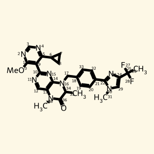 COc1ncnc(C2CC2)c1-c1ncc2c(n1)N(Cc1ccc(-c3nc(C(C)(F)F)cn3C)cc1)C(C)C(=O)N2C